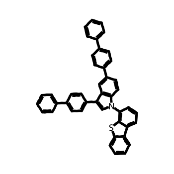 c1ccc(-c2ccc(-c3ccc4c(c3)c(-c3ccc(-c5ccccc5)cc3)cn4-c3cccc4c3sc3ccccc34)cc2)cc1